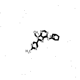 CCn1c(-c2cnc(C)nc2)nc2c(OC3CC4CCC3N4)ncnc21